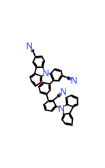 N#Cc1ccc(-n2c3ccccc3c3cc(C#N)ccc32)c(-c2cccc(-c3cccc(-n4c5ccccc5c5ccccc54)c3C#N)c2)c1